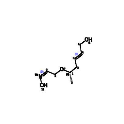 C[C@@H](C/C=C/CO)OC/C=N\O